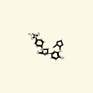 CC1CCCC1Oc1cc([C@H]2CC(=O)N(c3ccc(S(N)(=O)=O)cc3)C2)ccc1Cl